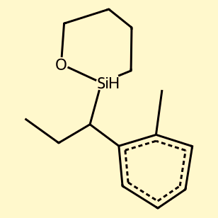 CCC(c1ccccc1C)[SiH]1CCCCO1